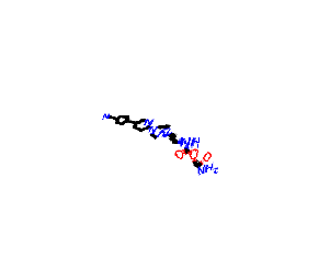 N#Cc1ccc(-c2ccc(N3CCN(CCNC(=O)OCC(N)=O)CC3)nc2)cc1